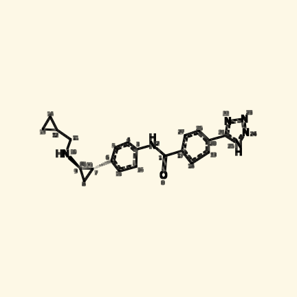 O=C(Nc1ccc([C@@H]2C[C@H]2NCC2CC2)cc1)c1ccc(-c2nnn[nH]2)cc1